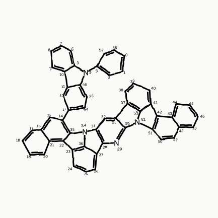 c1ccc(-n2c3ccccc3c3cc(-c4cc5ccccc5c5c6cccc7c8nc9c(cc8n(c45)c76)c4cccc5c6c7ccccc7ccc6n9c45)ccc32)cc1